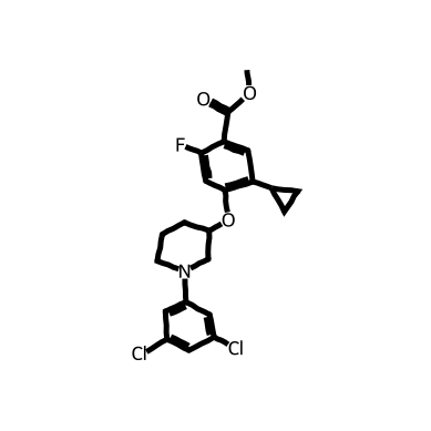 COC(=O)c1cc(C2CC2)c(OC2CCCN(c3cc(Cl)cc(Cl)c3)C2)cc1F